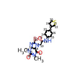 Cn1c(=O)c2c(nc(Br)n2CC(=O)Nc2ccc(-c3ccsc3)cc2)n(C)c1=O